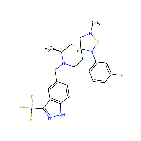 C[C@H]1C[C@]2(CCN1Cc1ccc3[nH]nc(C(F)(F)F)c3c1)CN(C)SN2c1cccc(F)c1